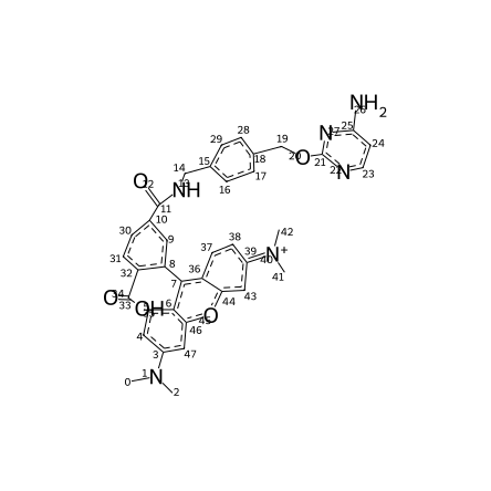 CN(C)c1ccc2c(-c3cc(C(=O)NCc4ccc(COc5nccc(N)n5)cc4)ccc3C(=O)O)c3ccc(=[N+](C)C)cc-3oc2c1